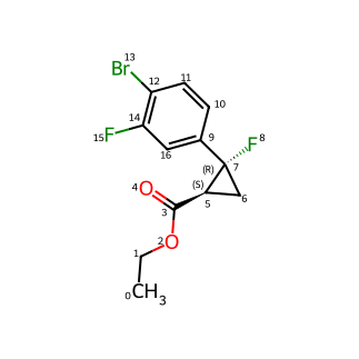 CCOC(=O)[C@@H]1C[C@]1(F)c1ccc(Br)c(F)c1